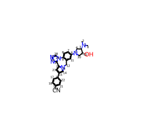 CN(C)[C@@H]1CN(c2ccc3c(c2)Cn2cc(-c4ccc(C#N)cc4)cc2-c2nncn2-3)C[C@H]1O